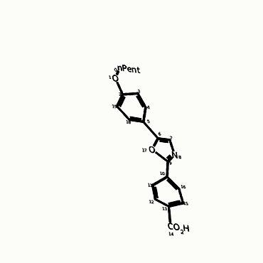 CCCCCOc1ccc(-c2cnc(-c3ccc(C(=O)O)cc3)o2)cc1